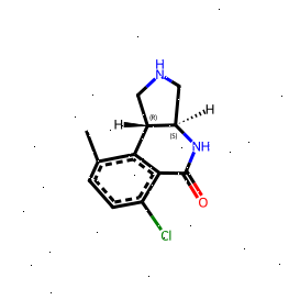 Cc1ccc(Cl)c2c1[C@@H]1CNC[C@H]1NC2=O